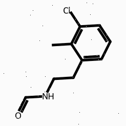 Cc1c(Cl)cccc1CCNC=O